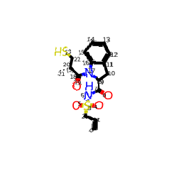 C=CCS(=O)(=O)NC(=O)[C@@H]1Cc2ccccc2N1C(=O)[C@H](C)CS